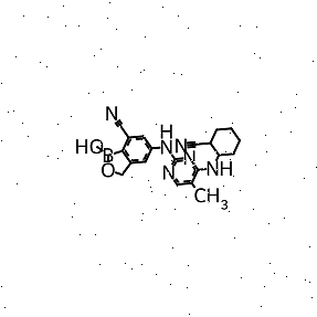 Cc1cnc(Nc2cc(C#N)c3c(c2)COB3O)nc1NC1CCCCC1C#N